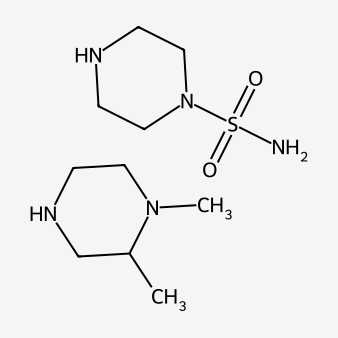 CC1CNCCN1C.NS(=O)(=O)N1CCNCC1